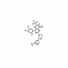 Cn1c(C(F)(F)F)nc2c(-c3cc(F)c(F)cc3F)nc(C3=CC(c4cnn(C5CC5)c4)OCC3)nc2c1=O